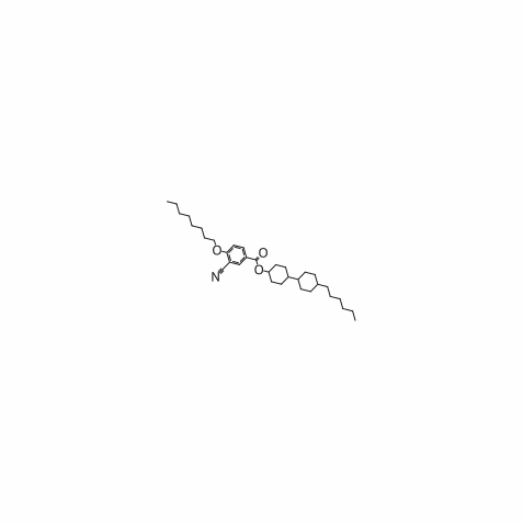 CCCCCCCCOc1ccc(C(=O)OC2CCC(C3CCC(CCCCCC)CC3)CC2)cc1C#N